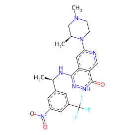 C[C@@H](Nc1n[nH]c(=O)c2cnc(N3CCN(C)C[C@@H]3C)cc12)c1cc([N+](=O)[O-])cc(C(F)(F)F)c1